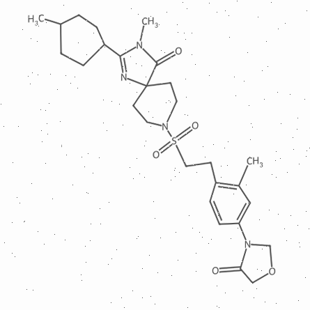 Cc1cc(N2COCC2=O)ccc1CCS(=O)(=O)N1CCC2(CC1)N=C(C1CCC(C)CC1)N(C)C2=O